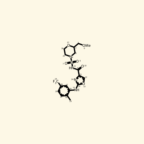 COCC1CN(S(=O)(=O)NC(=O)c2coc(Nc3cc(C(F)(F)F)ccc3C)n2)CCO1